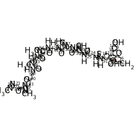 C=c1ccc2c(c1)Oc1cc(O)ccc1C=2c1ccc(NC(=S)NCCC(=O)Nc2cc(C(=O)Nc3cc(C(=O)NCCC(=O)Nc4cc(C(=O)Nc5cc(C(=O)NCCCC(=O)Cc6cn(C)c(C(=O)Cc7cn(C)cn7)n6)n(C)c5)n(C)c4)n(C)c3)n(C)c2)cc1C(=O)O